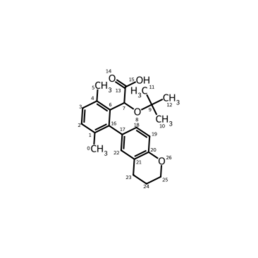 Cc1ccc(C)c(C(OC(C)(C)C)C(=O)O)c1-c1ccc2c(c1)CCCO2